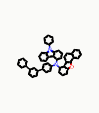 c1ccc(-c2cccc(-c3ccc(N(c4cccc5oc6c7ccccc7ccc6c45)c4cccc5c4c4ccccc4n5-c4ccccc4)cc3)c2)cc1